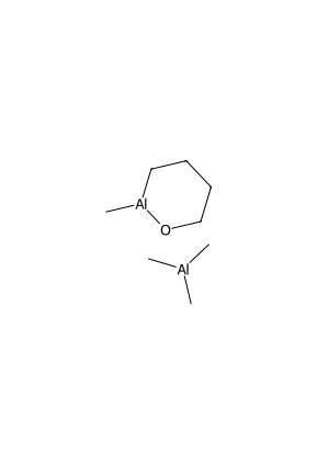 [CH3][Al]([CH3])[CH3].[CH3][Al]1[CH2]CCC[O]1